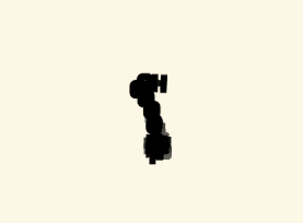 O=C(O)COCCOCCOCCCC(F)(F)C(F)(F)F